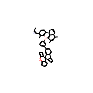 C/C=C\c1ccc(C)c(B(C2=C3C=CC=CC3C(C)C=C2C)c2cccc(-c3ccc4c(c3)C3(c5ccccc5Oc5ccccc53)c3ccccc3-4)c2)c1C